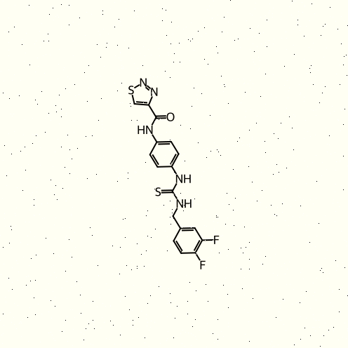 O=C(Nc1ccc(NC(=S)NCc2ccc(F)c(F)c2)cc1)c1csnn1